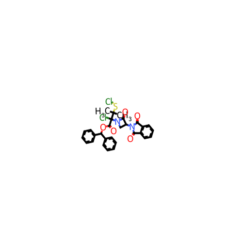 CC(C)(SCl)C(Cl)(C(=O)OC(c1ccccc1)c1ccccc1)N1CC(N2C(=O)c3ccccc3C2=O)C1=O